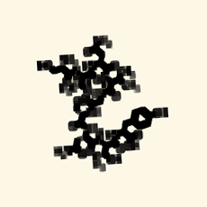 CC(C)[C@H](NC(=O)[C@H](CC(N)=O)NC(=O)[C@@H](NC(=O)[C@@H](N)CO)[C@@H](C)O)C(=O)NCC(=O)N[C@@H](CO)C(=O)N[C@@H](CC(N)=O)C(=O)N[C@H](C(=O)N[C@@H](Cc1ccc(O)cc1)C(=O)O)[C@@H](C)O